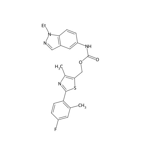 CCn1ncc2cc(NC(=O)OCc3sc(-c4ccc(F)cc4C)nc3C)ccc21